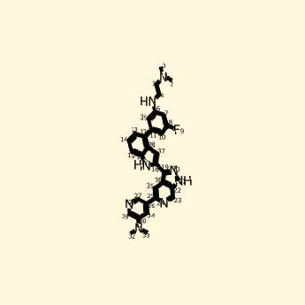 CN(C)CCNc1cc(F)cc(-c2cccc3[nH]c(-c4n[nH]c5cnc(-c6cncc(N(C)C)c6)cc45)cc23)c1